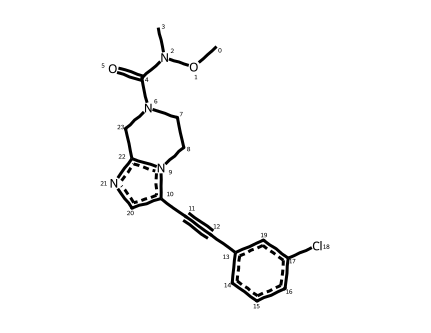 CON(C)C(=O)N1CCn2c(C#Cc3cccc(Cl)c3)cnc2C1